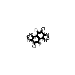 Fc1c(Cl)c2nsnc2c2c(F)c(Cl)c3nsnc3c12